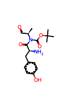 C[C@H]([C]=O)N(C(=O)OC(C)(C)C)C(=O)[C@@H](N)Cc1ccc(O)cc1